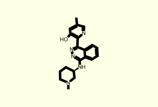 Cc1cnc(-c2nnc(N[C@@H]3CCCN(C)C3)c3ccccc23)c(O)c1